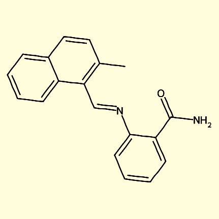 Cc1ccc2ccccc2c1/C=N/c1ccccc1C(N)=O